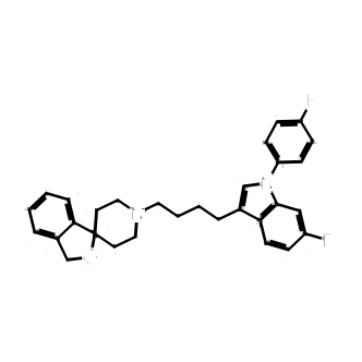 Fc1ccc(-n2cc(CCCCN3CCC4(CC3)OCc3ccccc34)c3ccc(F)cc32)cc1